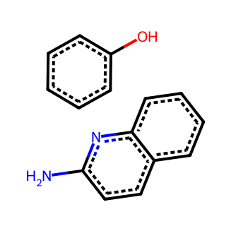 Nc1ccc2ccccc2n1.Oc1ccccc1